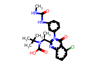 CNC(=O)Nc1cccc(-n2c([C@H](C)N(C(=O)O)C(C)(C)C)nc3cccc(Cl)c3c2=O)c1